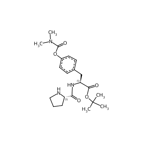 CN(C)C(=O)Oc1ccc(C[C@H](NC(=O)[C@@H]2CCCN2)C(=O)OC(C)(C)C)cc1